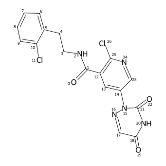 O=C(NCCc1ccccc1Cl)c1cc(-n2ncc(=O)[nH]c2=O)cnc1Cl